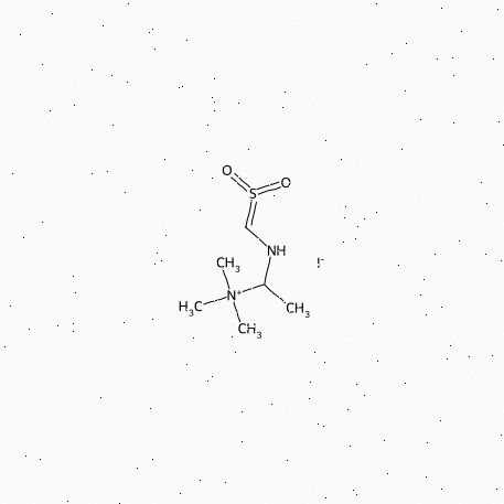 CC(NC=S(=O)=O)[N+](C)(C)C.[I-]